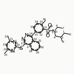 CCC(C)CN(CC)S(=O)(=O)c1cc(-c2nnc(Sc3nc(C)cc(C)n3)c3ccccc23)ccc1C